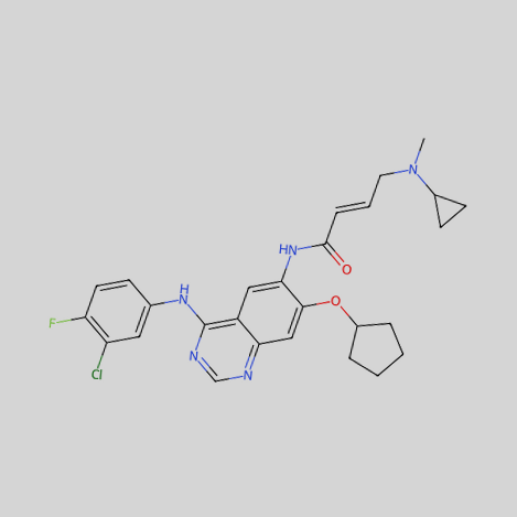 CN(C/C=C/C(=O)Nc1cc2c(Nc3ccc(F)c(Cl)c3)ncnc2cc1OC1CCCC1)C1CC1